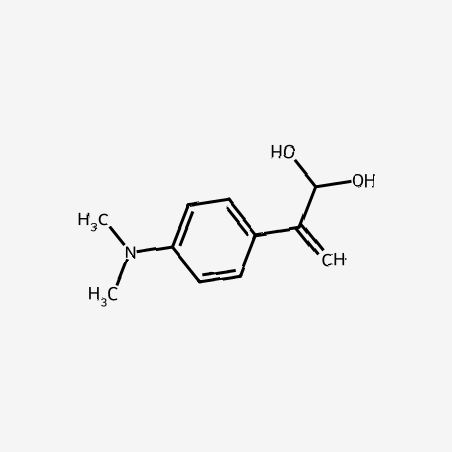 [CH]=C(c1ccc(N(C)C)cc1)C(O)O